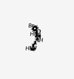 O=C(Nc1nnc(NCCCc2ncc[nH]2)s1)c1ccc(Br)cc1